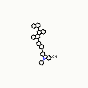 N#Cc1ccc2c(c1)c1cc(-c3ccc4cc(-c5cc6c7ccccc7c(-c7cccc8ccccc78)cc6c6ccccc56)ccc4c3)ccc1n2-c1ccccc1